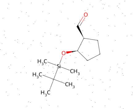 CC(C)(C)[Si](C)(C)O[C@@H]1CCC[C@@H]1C=O